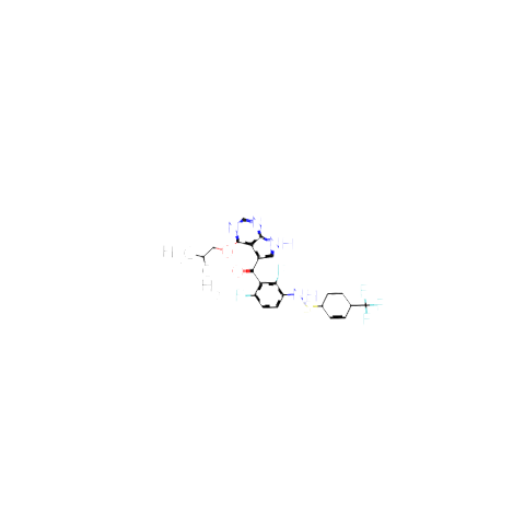 CC(C)COc1ncnc2[nH]cc(C(=O)c3c(F)ccc(NSC4C=CC(C(F)(F)F)CC4)c3F)c12